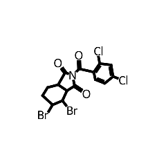 O=C(c1ccc(Cl)cc1Cl)N1C(=O)C2CCC(Br)C(Br)C2C1=O